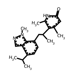 Cc1cc(=O)[nH]c(C)c1C(C)Cc1ccc(C(C)C)c2cnn(C)c12